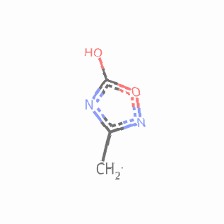 [CH2]c1noc(O)n1